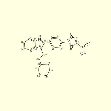 O=C(O)c1coc(-c2ccc(-c3nc4ccccc4n3CCC3CCCCC3)cc2)n1